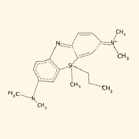 CCC[Si]1(C)C2=CC(=[N+](C)C)C=CC2=Nc2ccc(N(C)C)cc21